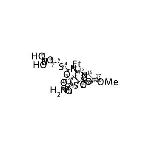 CCN(C(=O)CSCCON(O)O)[C@H]1CN(CCCOC)S(=O)(=O)c2sc(S(N)(=O)=O)cc21